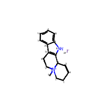 C[N+]12CCCCC1c1[nH]c3ccccc3c1CC2.[I-]